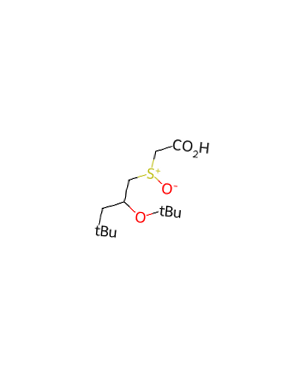 CC(C)(C)CC(C[S+]([O-])CC(=O)O)OC(C)(C)C